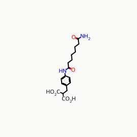 NC(=O)CCCCCCC(=O)Nc1ccc(CC(C(=O)O)C(=O)O)cc1